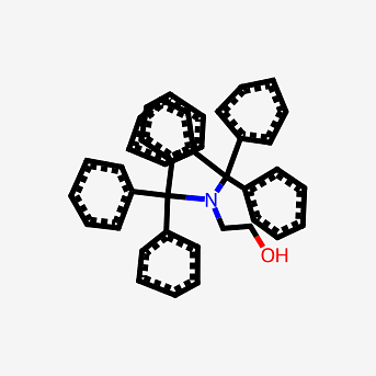 OCCN(C(c1ccccc1)(c1ccccc1)c1ccccc1)C(c1ccccc1)(c1ccccc1)c1ccccc1